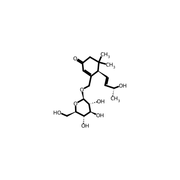 C[C@@H](O)/C=C/[C@H]1C(CO[C@@H]2O[C@H](CO)[C@@H](O)[C@H](O)[C@H]2O)=CC(=O)CC1(C)C